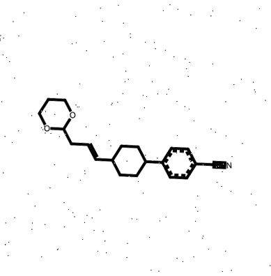 N#Cc1ccc(C2CCC(C=CCC3OCCCO3)CC2)cc1